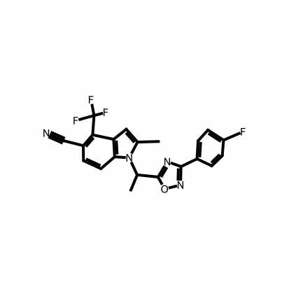 Cc1cc2c(C(F)(F)F)c(C#N)ccc2n1C(C)c1nc(-c2ccc(F)cc2)no1